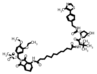 CCOc1cc([C@@H](CS(C)(=O)=O)N2C(=O)c3cccc(NC(=O)CCCCCCCCCCC(=O)N[C@H](C(=O)N4C[C@H](O)C[C@H]4C(=O)NCc4ccc(-c5scnc5C)cc4)C(C)(C)C)c3C2=O)ccc1OC